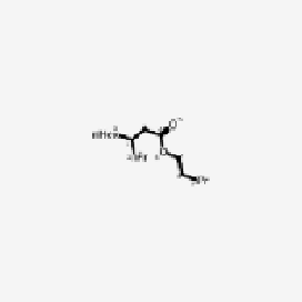 CCCCCCC(CCC)CC(=O)OCCC(C)C